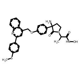 CSc1ccc(-c2cc(COc3ccc(C4(N)CCN(C(C)C(=O)NO)C4=O)cc3)c3ccccc3n2)cc1